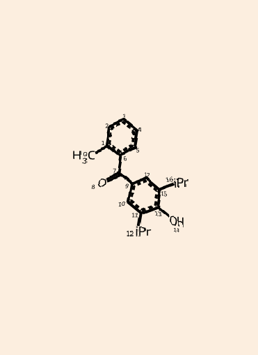 Cc1ccccc1C(=O)c1cc(C(C)C)c(O)c(C(C)C)c1